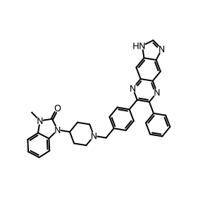 Cn1c(=O)n(C2CCN(Cc3ccc(-c4nc5cc6[nH]cnc6cc5nc4-c4ccccc4)cc3)CC2)c2ccccc21